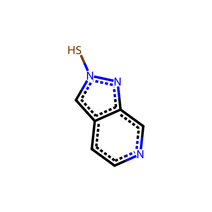 Sn1cc2ccncc2n1